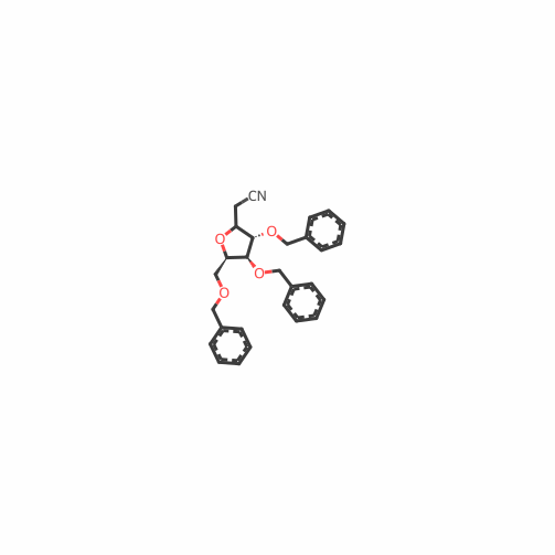 N#CCC1O[C@H](COCc2ccccc2)[C@H](OCc2ccccc2)[C@H]1OCc1ccccc1